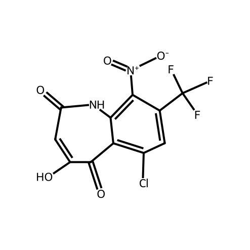 O=c1cc(O)c(=O)c2c(Cl)cc(C(F)(F)F)c([N+](=O)[O-])c2[nH]1